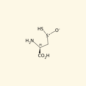 N[C@@H](C[S+]([O-])S)C(=O)O